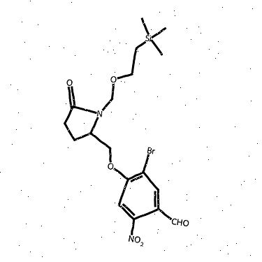 C[Si](C)(C)CCOCN1C(=O)CCC1COc1cc([N+](=O)[O-])c(C=O)cc1Br